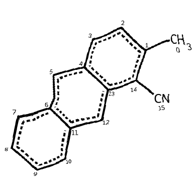 Cc1ccc2cc3ccccc3cc2c1C#N